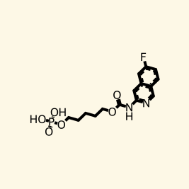 O=C(Nc1cc2cc(F)ccc2cn1)OCCCCCOP(=O)(O)O